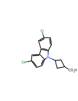 O=C(O)C1CC(n2c3ccc(Cl)cc3c3cc(Cl)ccc32)C1